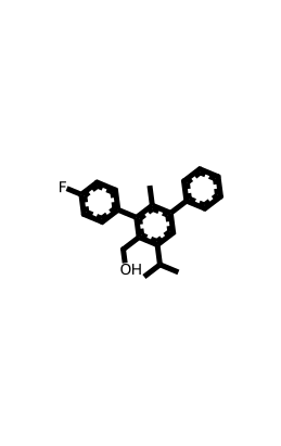 Cc1c(-c2ccccc2)cc(C(C)C)c(CO)c1-c1ccc(F)cc1